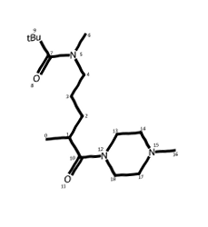 CC(CCCN(C)C(=O)C(C)(C)C)C(=O)N1CCN(C)CC1